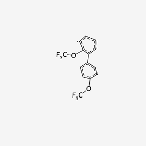 FC(F)(F)Oc1ccc(-c2ccc[c]c2OC(F)(F)F)cc1